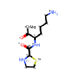 COC(=O)C(CCCCN)NC(=O)C1NCCS1